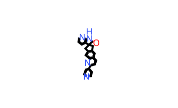 O=C1Nc2ncccc2C12Cc1cc3ccc(-c4ccncc4)nc3cc1C2